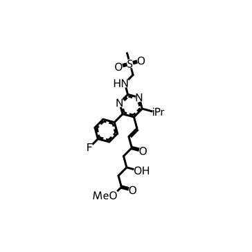 COC(=O)CC(O)CC(=O)C=Cc1c(-c2ccc(F)cc2)nc(NCS(C)(=O)=O)nc1C(C)C